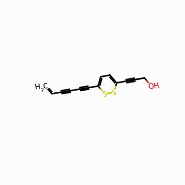 C=CC#CC#CC1=CC=C(C#CCO)SS1